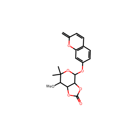 C=C1C=Cc2ccc(OC3OC(C)(C)C(OC)C4OC(=O)OC34)cc2O1